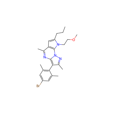 CCCc1cc2c(C)nc3c(-c4c(C)cc(Br)cc4C)c(C)nn3c2n1CCOC